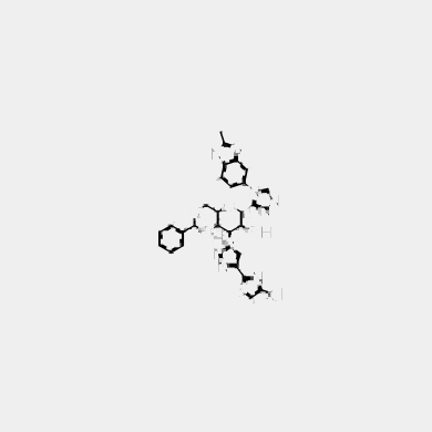 Cc1nc2ccc(-n3cnnc3[C@@H]3OC4COC(c5ccccc5)O[C@@H]4C(n4cc(-c5nc(Cl)cs5)nn4)C3O)cc2s1